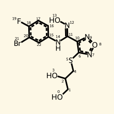 OCC(O)CSc1nonc1/C(=N/O)Nc1ccc(F)c(Br)c1